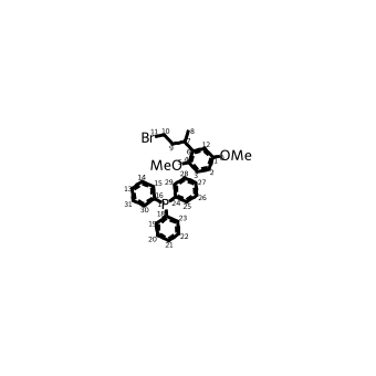 COc1ccc(OC)c(C(C)CCBr)c1.c1ccc(P(c2ccccc2)c2ccccc2)cc1